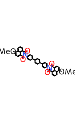 COc1ccc2c3c(cccc13)C(=O)N(c1ccc(-c3ccc(-c4ccc(N5C(=O)c6cccc7c(OC)ccc(c67)C5=O)cc4)cc3)cc1)C2=O